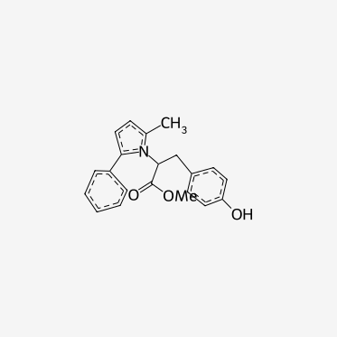 COC(=O)C(Cc1ccc(O)cc1)n1c(C)ccc1-c1ccccc1